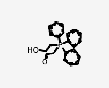 O=CCP(CCO)(c1ccccc1)(c1ccccc1)c1ccccc1